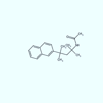 CC(=O)NC(C)(C)CC(C)(C)c1ccc2ccccc2c1